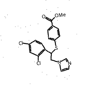 COC(=O)c1ccc(SC(Cn2ccnc2)c2ccc(Cl)cc2Cl)cc1